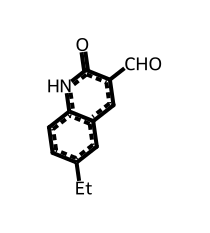 CCc1ccc2[nH]c(=O)c(C=O)cc2c1